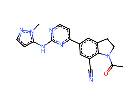 CC(=O)N1CCc2cc(-c3ccnc(Nc4ccnn4C)n3)cc(C#N)c21